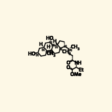 CCC(NC(=O)CC[C@@H](C)[C@H]1CC[C@H]2[C@@H]3[C@@H](O)C[C@@H]4C[C@H](O)CC[C@]4(C)[C@H]3CC[C@]12C)C(=O)OC